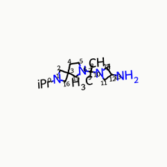 CC(C)N1CC2(CCN(C(C)(C)N3CC(N)C3)C2)C1